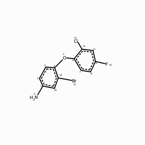 Nc1ccc(Oc2ccc(F)cc2Cl)c(Br)c1